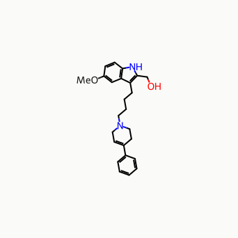 COc1ccc2[nH]c(CO)c(CCCCN3CC=C(c4ccccc4)CC3)c2c1